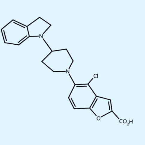 O=C(O)c1cc2c(Cl)c(N3CCC(N4CCc5ccccc54)CC3)ccc2o1